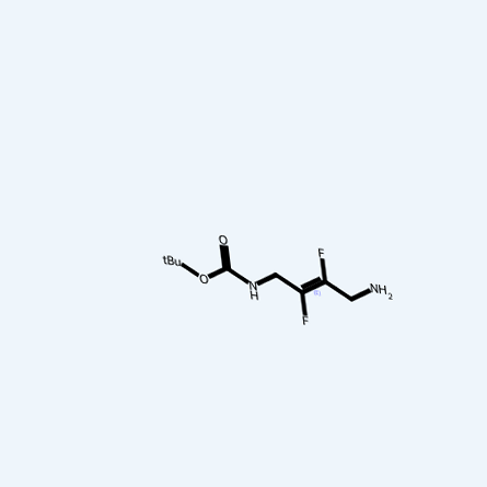 CC(C)(C)OC(=O)NC/C(F)=C(\F)CN